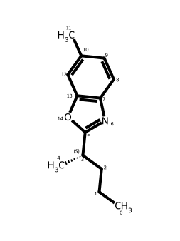 CCC[C@H](C)c1nc2ccc(C)cc2o1